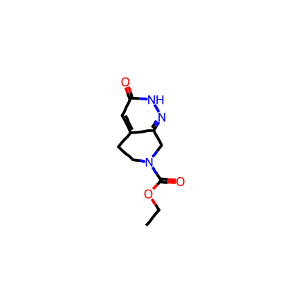 CCOC(=O)N1CCc2cc(=O)[nH]nc2C1